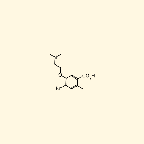 Cc1cc(Br)c(OCCN(C)C)cc1C(=O)O